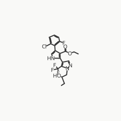 CCOC(=O)c1c(-c2c(F)cccc2Cl)c[nH]c1-c1cnn(CC(O)CC)c1C(F)(F)F